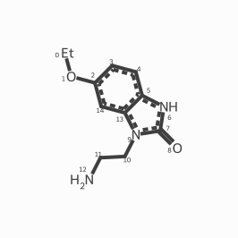 CCOc1ccc2[nH]c(=O)n(CCN)c2c1